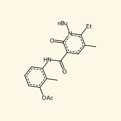 CCCCn1c(CC)c(C)cc(C(=O)Nc2cccc(OC(C)=O)c2C)c1=O